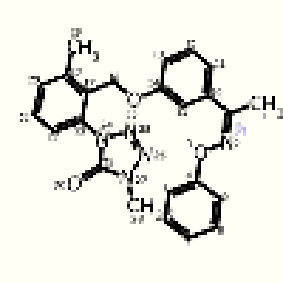 C/C(=N/Oc1ccccc1)c1cccc(OCc2c(C)cccc2-n2nnn(C)c2=O)c1